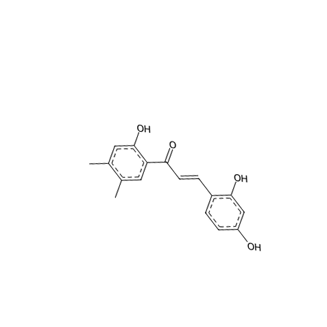 Cc1cc(O)c(C(=O)C=Cc2ccc(O)cc2O)cc1C